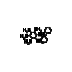 Bc1c(B)c(B)c(Nc2ccccc2-c2ccccc2)c(B)c1B